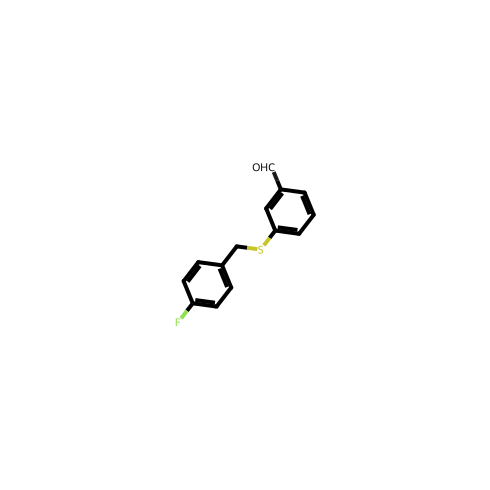 O=Cc1cccc(SCc2ccc(F)cc2)c1